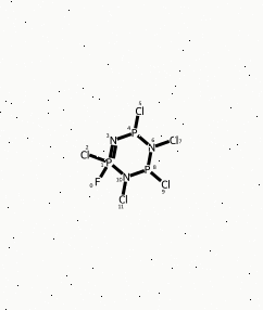 FP1(Cl)=NP(Cl)N(Cl)P(Cl)N1Cl